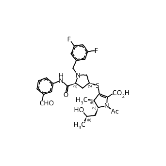 CC(=O)N1C(C(=O)O)=C(S[C@H]2C[C@@H](C(=O)Nc3cccc(C=O)c3)N(Cc3cc(F)cc(F)c3)C2)[C@H](C)[C@@H]1C[C@@H](C)O